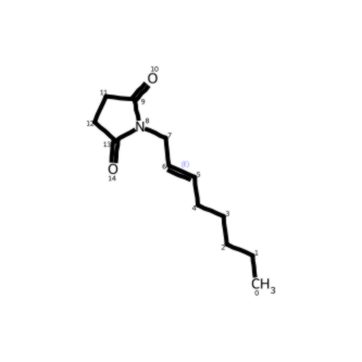 CCCCC/C=C/CN1C(=O)CCC1=O